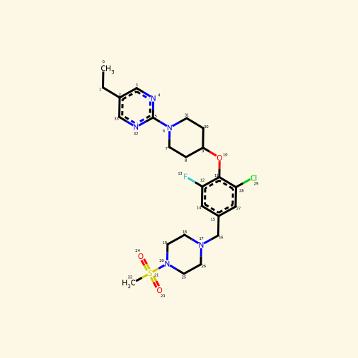 CCc1cnc(N2CCC(Oc3c(F)cc(CN4CCN(S(C)(=O)=O)CC4)cc3Cl)CC2)nc1